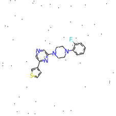 Fc1ccccc1N1CCN(c2cncc(-c3ccsc3)n2)CC1